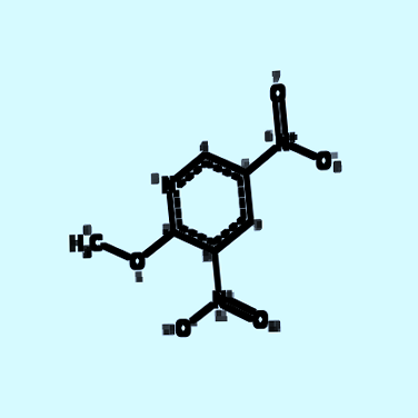 COc1ncc([N+](=O)[O-])cc1[N+](=O)[O-]